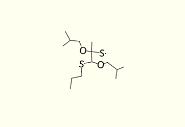 CCCSC(OCC(C)C)C(C)([S])OCC(C)C